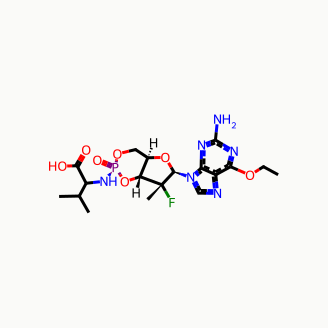 CCOc1nc(N)nc2c1ncn2[C@@H]1O[C@@H]2CO[P@](=O)(NC(C(=O)O)C(C)C)O[C@H]2[C@@]1(C)F